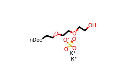 CCCCCCCCCCCCOCCOCCO.O=S(=O)([O-])[O-].[K+].[K+]